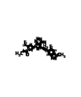 C=CC(=O)N1CC(n2nc(C#Cc3cc4ncn(C)c4cc3F)c3c(N)ncnc32)C[C@@H]1CF